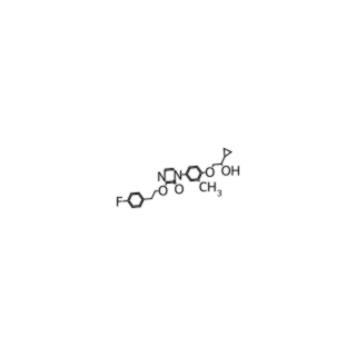 Cc1cc(-n2ccnc(OCCc3ccc(F)cc3)c2=O)ccc1OCC(O)C1CC1